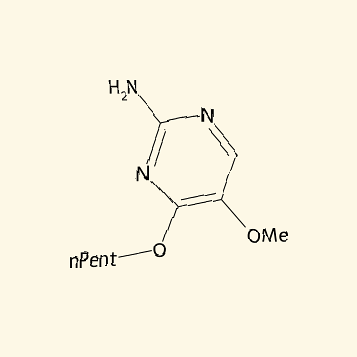 CCCCCOc1nc(N)ncc1OC